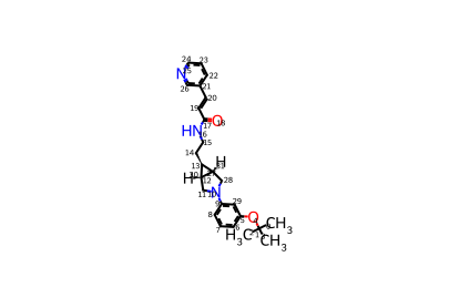 CC(C)(C)Oc1cccc(N2C[C@@H]3[C@@H](CCNC(=O)/C=C/c4cccnc4)[C@@H]3C2)c1